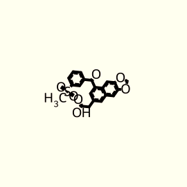 CS(=O)(=O)c1cccc(C(=O)c2cc(CC(=O)O)cc3cc4c(cc23)OCO4)c1